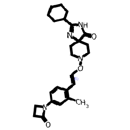 Cc1cc(N2CCC2=O)ccc1/C=C/ON1CCC2(CC1)N=C(C1CCCCC1)NC2=O